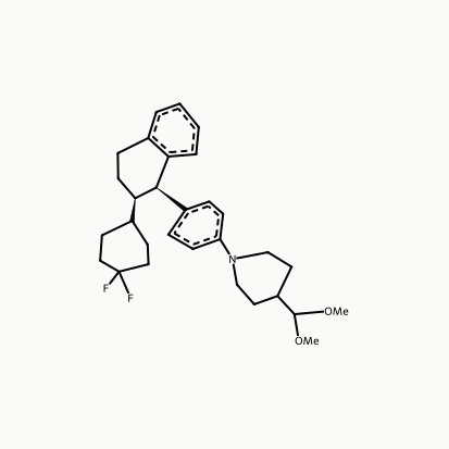 COC(OC)C1CCN(c2ccc([C@@H]3c4ccccc4CC[C@@H]3C3CCC(F)(F)CC3)cc2)CC1